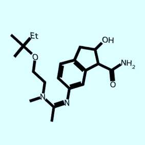 CCC(C)(C)OCCN(C)C(C)=Nc1ccc2c(c1)C(C(N)=O)C(O)C2